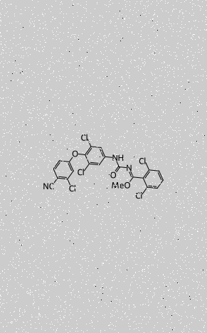 COC(=NC(=O)Nc1cc(Cl)c(Oc2ccc(C#N)c(Cl)c2)c(Cl)c1)c1c(Cl)cccc1Cl